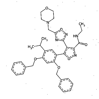 CCNC(=O)c1noc(-c2cc(C(C)C)c(OCc3ccccc3)cc2OCc2ccccc2)c1-c1noc(CN2CCOCC2)n1